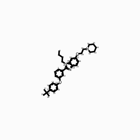 CCCCn1c(-c2cccc(Oc3ccc(C(C)(C)C)cc3)c2)nc2ccc(OCCN3CCCCC3)cc21